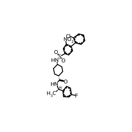 C[C@@H](NC(=O)[C@H]1CC[C@H](NS(=O)(=O)c2ccc(-c3ccccc3Cl)c([N+](=O)[O-])c2)CC1)c1ccc(F)cc1